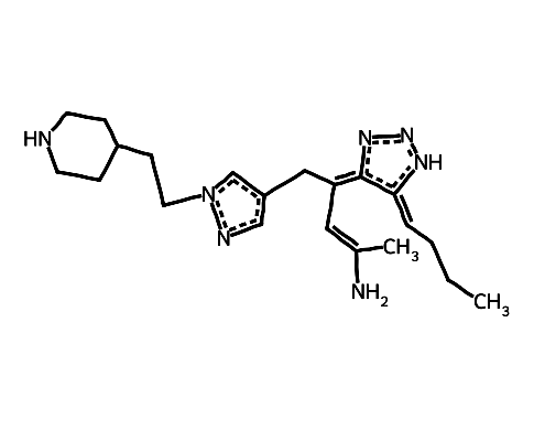 CCC\C=c1/[nH]nn/c1=C(/C=C(\C)N)Cc1cnn(CCC2CCNCC2)c1